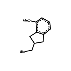 COc1cccc2c1CC(CC(C)(C)C)C2